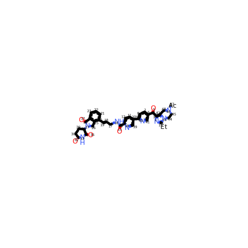 CCc1nc(C(=O)c2ccc(-c3ccc(C(=O)NC/C=C/c4cccc5c4CN(C4CCC(=O)NC4=O)C5=O)nc3)nc2)c2n1CCN(C(C)=O)C2